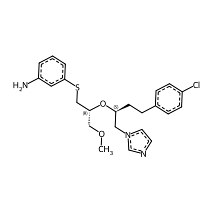 COC[C@H](CSc1cccc(N)c1)O[C@@H](CCc1ccc(Cl)cc1)Cn1ccnc1